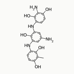 Cc1c(O)ccc(Nc2cc(N)cc(Nc3ccc(O)c(N)c3O)c2O)c1O